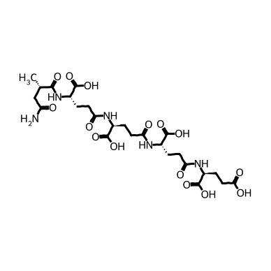 C[C@@H](CC(N)=O)C(=O)N[C@@H](CCC(=O)N[C@@H](CCC(=O)N[C@@H](CCC(=O)N[C@@H](CCC(=O)O)C(=O)O)C(=O)O)C(=O)O)C(=O)O